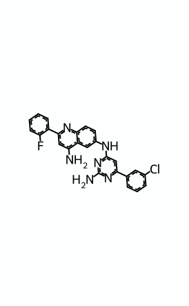 Nc1nc(Nc2ccc3nc(-c4ccccc4F)cc(N)c3c2)cc(-c2cccc(Cl)c2)n1